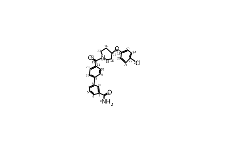 NC(=O)c1cccc(-c2ccc(C(=O)N3CCC(Oc4ccc(Cl)cc4)CC3)cc2)c1